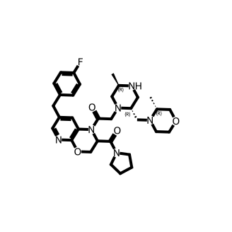 C[C@@H]1CN(CC(=O)N2c3cc(Cc4ccc(F)cc4)cnc3OCC2C(=O)N2CCCC2)[C@@H](CN2CCOC[C@H]2C)CN1